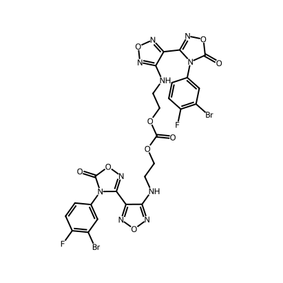 O=C(OCCNc1nonc1-c1noc(=O)n1-c1ccc(F)c(Br)c1)OCCNc1nonc1-c1noc(=O)n1-c1ccc(F)c(Br)c1